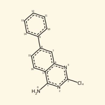 Nc1nc(Cl)nc2cc(-c3ccccc3)ccc12